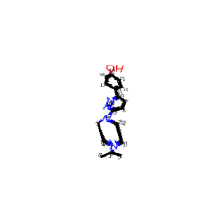 CC(C)N1CCN(c2ccc(-c3ccc(O)cc3)nn2)CC1